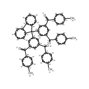 Cc1ccc(C(=O)c2cc(C(=O)c3ccc(C)cc3)cc(C3(c4cc(C(=O)c5ccc(C)cc5)cc(C(=O)c5ccc(C)cc5)c4)c4ccccc4-c4ccccc43)c2)cc1